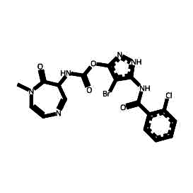 CN1C=CN=CC(NC(=O)Oc2n[nH]c(NC(=O)c3ccccc3Cl)c2Br)C1=O